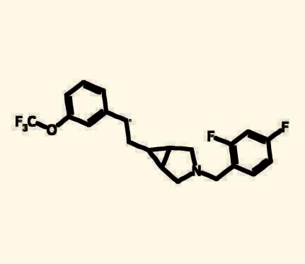 Fc1ccc(CN2CC3C(C[CH]c4cccc(OC(F)(F)F)c4)C3C2)c(F)c1